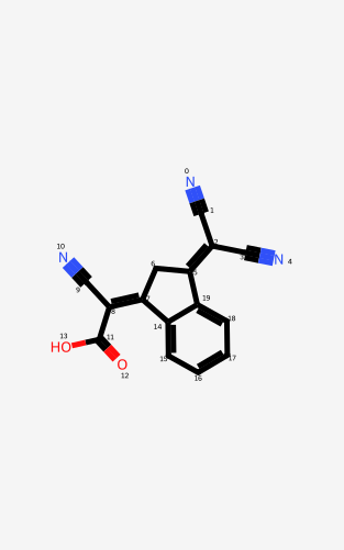 N#CC(C#N)=C1C/C(=C(\C#N)C(=O)O)c2ccccc21